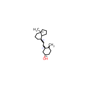 C=C1CC[C@@H](O)C/C1=C/C=C1\CCC[C@]2(C)CCCC12